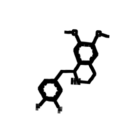 COc1cc2c(cc1OC)C(Cc1ccc(F)c(F)c1)NCC2